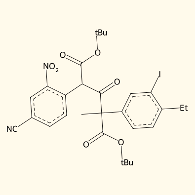 CCc1ccc(C(C)(C(=O)OC(C)(C)C)C(=O)C(C(=O)OC(C)(C)C)c2ccc(C#N)cc2[N+](=O)[O-])cc1I